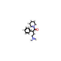 CN(C)CCC(C(=O)N1CCCCC1)c1ccccc1